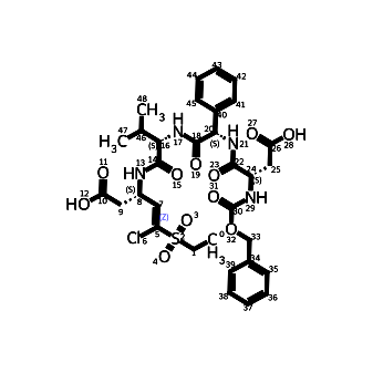 CCS(=O)(=O)/C(Cl)=C/[C@H](CC(=O)O)NC(=O)[C@@H](NC(=O)[C@@H](NC(=O)[C@H](CC(=O)O)NC(=O)OCc1ccccc1)c1ccccc1)C(C)C